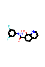 O=C(Nc1cc(F)cc(F)c1)c1ccc2cccnc2c1O